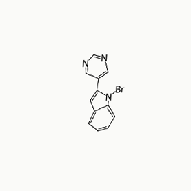 Brn1c(-c2cncnc2)cc2ccccc21